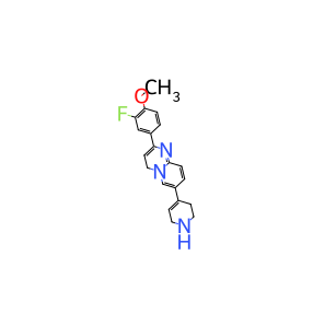 COc1ccc(C2=CCN3C=C(C4=CCNCC4)C=CC3=N2)cc1F